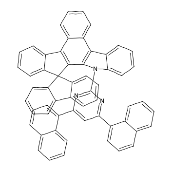 c1ccc2c(c1)-c1ccccc1C21c2ccccc2-c2c1c1c(c3ccccc23)c2ccccc2n1-c1nc(-c2cccc3ccccc23)cc(-c2cccc3ccccc23)n1